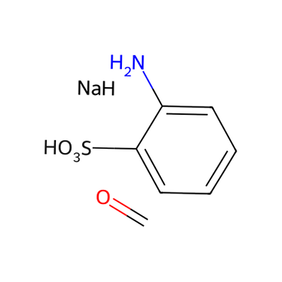 C=O.Nc1ccccc1S(=O)(=O)O.[NaH]